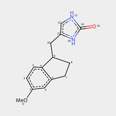 COc1ccc2c(c1)CCC2Cc1c[nH]c(=O)[nH]1